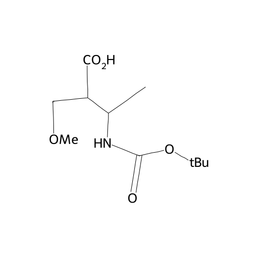 COCC(C(=O)O)C(C)NC(=O)OC(C)(C)C